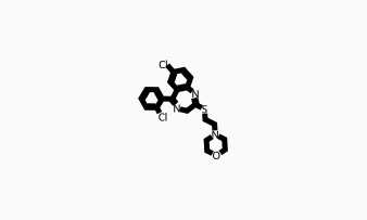 Clc1ccc2c(c1)C(c1ccccc1Cl)=NCC(SCCN1CCOCC1)=N2